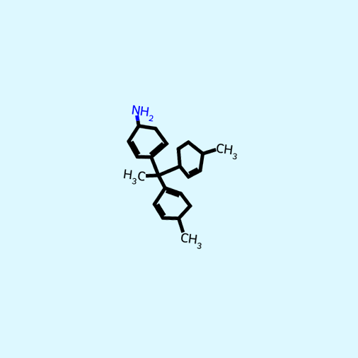 CC1C=CC(C(C)(C2=CCC(N)C=C2)C2C=CC(C)CC2)=CC1